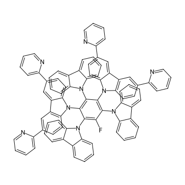 Fc1c(-n2c3ccccc3c3ccccc32)c(-n2c3ccc(-c4ccccn4)cc3c3cc(-c4ccccn4)ccc32)c(-n2c3ccccc3c3ccccc32)c(-n2c3ccc(-c4ccccn4)cc3c3cc(-c4ccccn4)ccc32)c1-n1c2ccccc2c2ccccc21